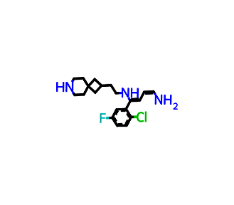 N/C=C\C=C(/NCCC1CC2(CCNCC2)C1)c1cc(F)ccc1Cl